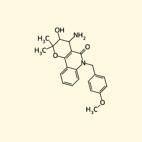 COc1ccc(Cn2c(=O)c3c(c4ccccc42)OC(C)(C)C(O)C3N)cc1